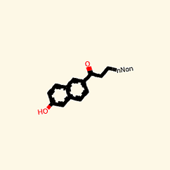 CCCCCCCCCCCC(=O)c1ccc2cc(O)ccc2c1